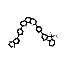 CC1(C)c2ccccc2-c2ccc(-c3ccc(-c4ccc5ccc6ccc(-c7ccc(-c8ccc9nccnc9c8)cc7)nc6c5n4)cc3)cc21